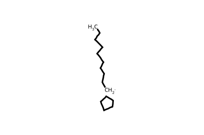 C1CCCC1.[CH2]CCCCCCCCC